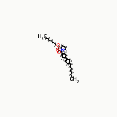 CCCCCCCCOC(=O)[C@@H]1CCCN1C(=O)c1ccc(-c2ccc(CCCCCCCC)cc2)cc1